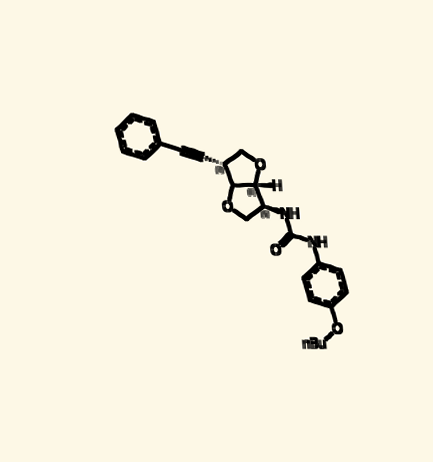 CCCCOc1ccc(NC(=O)N[C@H]2COC3[C@H](C#Cc4ccccc4)CO[C@@H]32)cc1